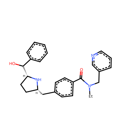 CCN(Cc1cccnc1)C(=O)c1ccc(C[C@@H]2CC[C@H](C(O)c3ccccc3)N2)cc1